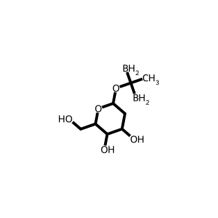 BC(B)(C)OC1CC(O)C(O)C(CO)O1